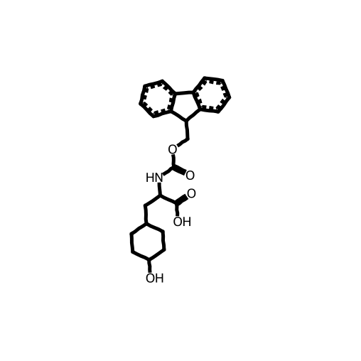 O=C(NC(CC1CCC(O)CC1)C(=O)O)OCC1c2ccccc2-c2ccccc21